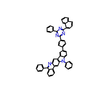 c1ccc(-c2nc(-c3ccc(-c4ccc5c(c4)c4cc6nc(-c7ccccc7)c7ccccc7c6cc4n5-c4ccccc4)cc3)nc(-c3cccc4ccccc34)n2)cc1